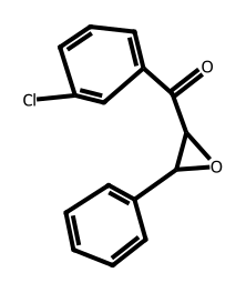 O=C(c1cccc(Cl)c1)C1OC1c1ccccc1